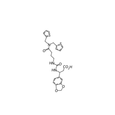 O=C(O)CC(NC(=O)NCCCC(=O)N(Cc1cccs1)Cc1cccs1)c1ccc2c(c1)OCO2